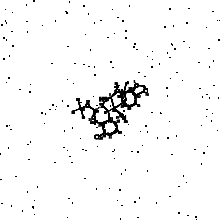 COCC(C)(C)C[C@@H]1N[C@@H](C(=O)OC(C)(C)C)[C@H](c2cccc(Cl)c2F)[C@@]1(C#N)c1ccc(Cl)cc1F